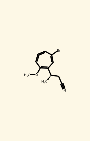 COC1=C([C@H](C)CC#N)C=C(Br)C=C=C1